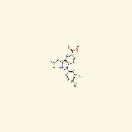 COC(=O)c1ccc2c(n1)c(CC(C)C)nn2-c1ccc(Cl)c(F)c1